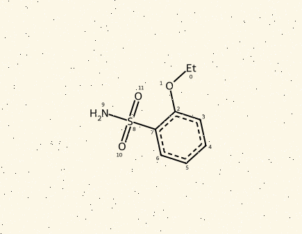 CCOc1ccccc1S(N)(=O)=O